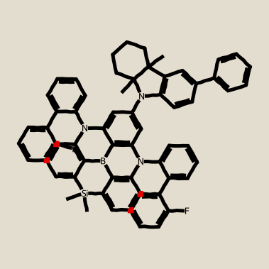 CC12CCCCC1(C)N(c1cc3c4c(c1)N(c1ccccc1-c1ccccc1F)c1cccc5c1B4c1c(cccc1[Si]5(C)C)N3c1ccccc1-c1ccccc1F)c1ccc(-c3ccccc3)cc12